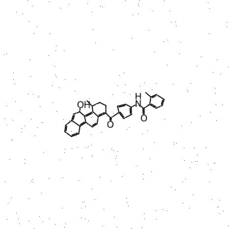 Cc1ccccc1C(=O)Nc1ccc(C(=O)C2=c3ccc4c(c3C(C)CC2)C(O)C=c2ccccc2=4)cc1